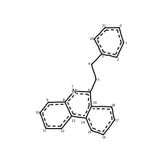 c1ccc(CCc2nc3ccccc3c3ccccc23)cc1